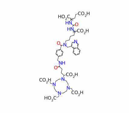 O=C(O)CC[C@@H](NC(=O)N[C@H](CCCCN(Cc1cncc2ccccc12)C(=O)c1ccc(CNC(=O)CCC(C(=O)O)N2CCN(CC(=O)O)CCN(CC(=O)O)CCN(CC(=O)O)CC2)cc1)C(=O)O)C(=O)O